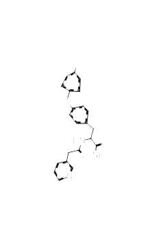 NC(=O)C(Cc1ccc(Oc2ccc(F)cc2)cc1)NC(=O)Cc1cccnc1